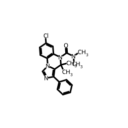 CN(C)C(=O)N1c2cc(Cl)ccc2-n2cnc(-c3ccccc3)c2C1(C)C